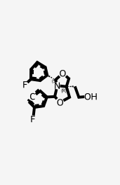 OCC[C@]12COC(c3cccc(F)c3)N1[C@H](c1cccc(F)c1)OC2